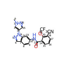 Cn1cc(-n2ncc3ccc(NC(=O)c4cccc(C#N)c4OC(F)(F)F)cc32)cn1